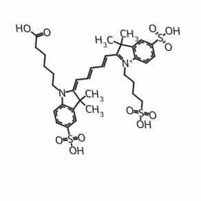 CC1(C)C(/C=C/C=C/C=C2/N(CCCCCC(=O)O)c3ccc(S(=O)(=O)O)cc3C2(C)C)=[N+](CCCCS(=O)(=O)O)c2ccc(S(=O)(=O)O)cc21